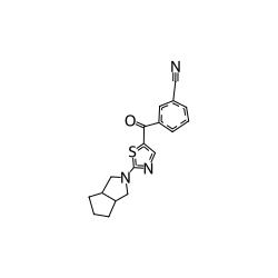 N#Cc1cccc(C(=O)c2cnc(N3CC4CCCC4C3)s2)c1